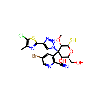 CO[C@@H]1[C@H](S)O[C@@H](CO)[C@@H](O)[C@@]1(c1cc(Br)cnc1C#N)n1cc(-c2nc(C)c(Cl)s2)nn1